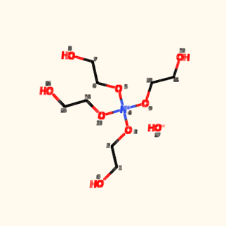 OCCO[N+](OCCO)(OCCO)OCCO.[OH-]